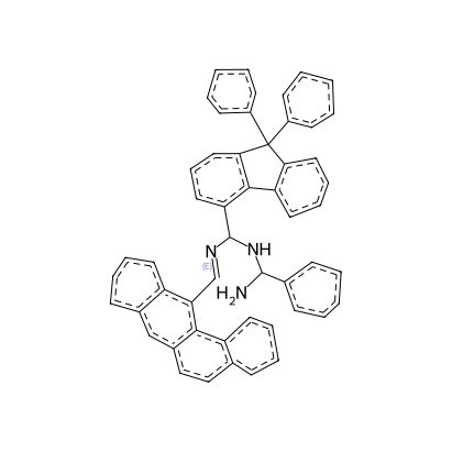 NC(NC(/N=C/c1c2ccccc2cc2ccc3ccccc3c12)c1cccc2c1-c1ccccc1C2(c1ccccc1)c1ccccc1)c1ccccc1